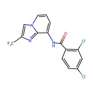 O=C(Nc1cccn2cc(C(F)(F)F)nc12)c1ccc(Cl)cc1Cl